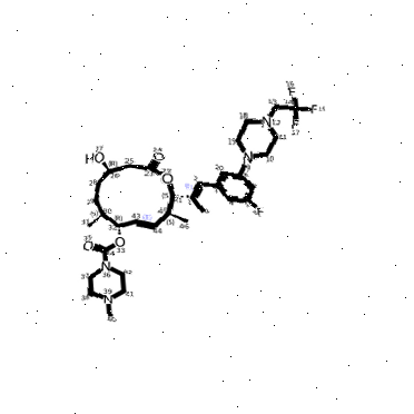 C/C(=C\c1cc(F)cc(N2CCN(CC(F)(F)F)CC2)c1)[C@H]1OC(=O)C[C@H](O)CC[C@H](C)[C@@H](OC(=O)N2CCN(C)CC2)/C=C/[C@@H]1C